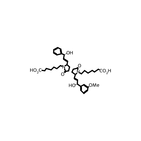 COc1cccc([C@H](O)/C=C/C2CCC(=O)N2CCCCCCC(=O)O)c1.O=C(O)CCCCCCN1C(=O)CCC1/C=C/[C@@H](O)c1ccccc1